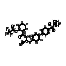 CNS(=O)(=O)c1ccc(-c2ccc(C[C@@H](C#N)NC(=O)[C@@H]3CCCCN3OC(=O)C(F)(F)F)cc2)cc1